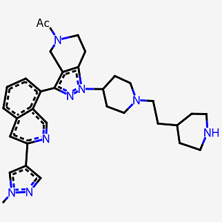 CC(=O)N1CCc2c(c(-c3cccc4cc(-c5cnn(C)c5)ncc34)nn2C2CCN(CCC3CCNCC3)CC2)C1